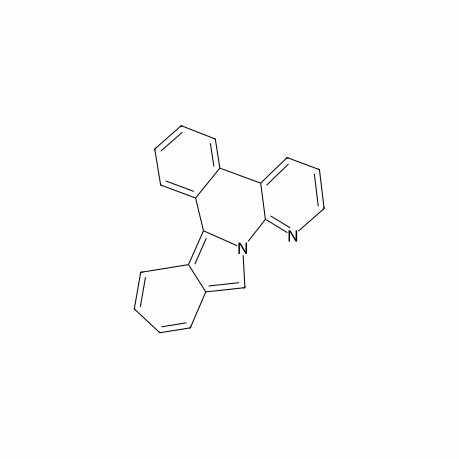 c1ccc2c(c1)cn1c3ncccc3c3ccccc3c21